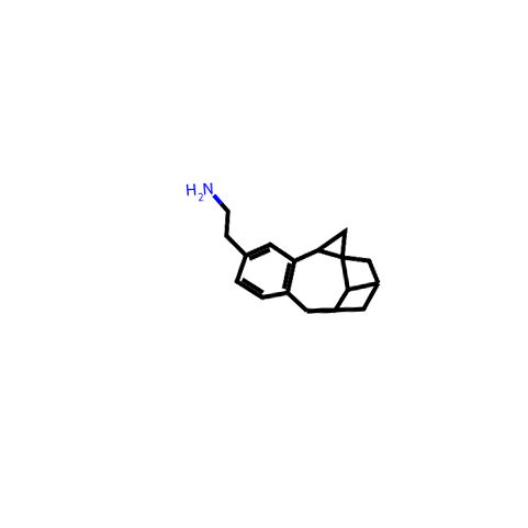 NCCc1ccc2c(c1)C1CC13CC1CC2CC13